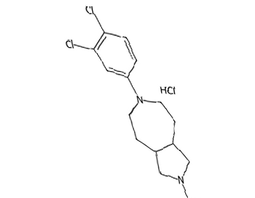 CN1CC2CCN(c3ccc(Cl)c(Cl)c3)CCC2C1.Cl